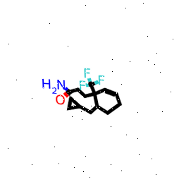 NC(=O)CCC1(C(F)(F)F)C=CCCC1CC1CC1